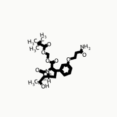 C[C@@H](O)[C@H]1C(=O)N2C(C(=O)OCOC(=O)C(C)(C)C)=C(c3cccc(OCCC(N)=O)c3)C[C@H]12